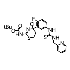 CC(C)(C)OC(=O)NC1=N[C@](C)(c2cc(NC(=S)NCc3ccccn3)ccc2F)CCS1